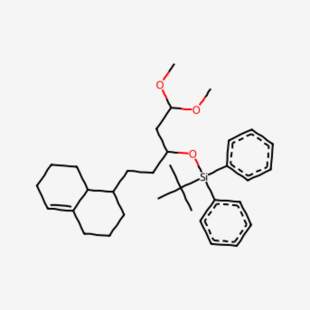 COC(CC(CCC1CCCC2=CCCCC21)O[Si](c1ccccc1)(c1ccccc1)C(C)(C)C)OC